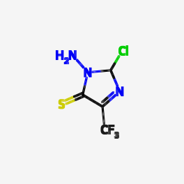 NN1C(=S)C(C(F)(F)F)=NC1Cl